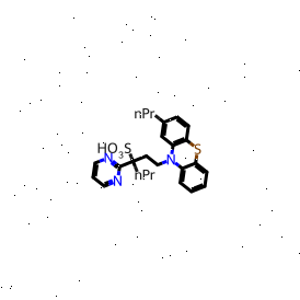 CCCc1ccc2c(c1)N(CCC(CCC)(c1ncccn1)S(=O)(=O)O)c1ccccc1S2